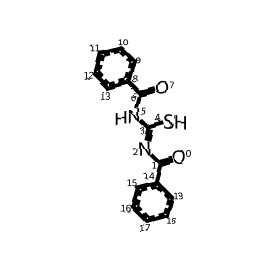 O=C(N=C(S)NC(=O)c1ccccc1)c1ccccc1